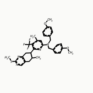 COc1ccc(CN(Cc2ccc(OC)cc2)c2cc(C)c(C(F)(F)F)c(C3Cc4nc(SC)n[c]c4CC3C)n2)cc1